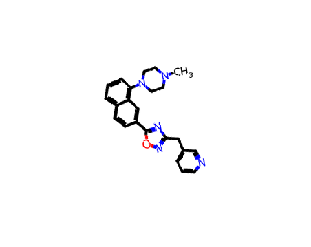 CN1CCN(c2cccc3ccc(-c4nc(Cc5cccnc5)no4)cc23)CC1